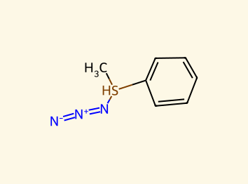 C[SH](N=[N+]=[N-])c1ccccc1